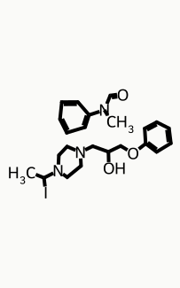 CC(I)N1CCN(CC(O)COc2ccccc2)CC1.CN(C=O)c1ccccc1